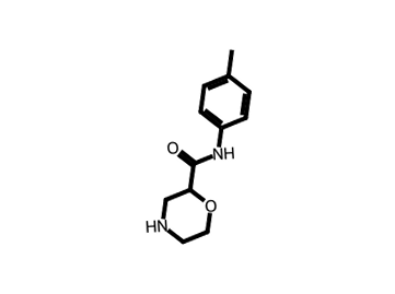 Cc1ccc(NC(=O)C2CNCCO2)cc1